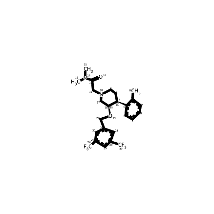 Cc1ccccc1[C@@H]1CCN(CC(=O)N(C)C)C[C@@H]1OCc1cc(C(F)(F)F)cc(C(F)(F)F)c1